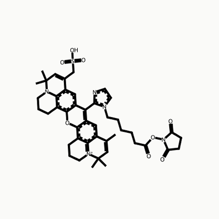 CC1=CC(C)(C)[N+]2=c3c1cc1c(c3CCC2)Oc2c(cc3c4c2CCCN4C(C)(C)C=C3CS(=O)(=O)O)C=1c1nccn1CCCCCC(=O)ON1C(=O)CCC1=O